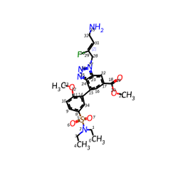 CCN(CC)S(=O)(=O)c1ccc(OC)c(-c2cc(C(=O)OC)cc3c2nnn3C/C(F)=C/CN)c1